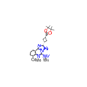 COc1cccc2c1nc(NC(C)(C)C)n1nc([C@H]3C[C@H](B4OC(C)(C)C(C)(C)O4)C3)nc21